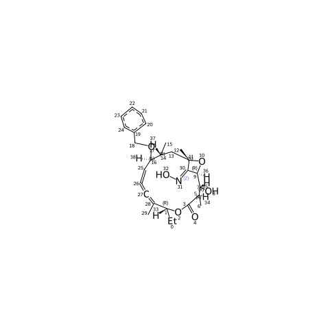 CC[C@H]1OC(=O)[C@H](C)[C@@H](O)[C@@H]2O[C@@](C)(C[C@@H](C)[C@H](OCc3ccccc3)C=C=C=C1C)/C2=N\O